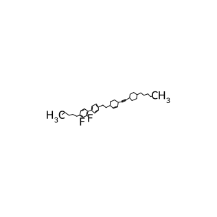 CCCCCc1ccc(-c2ccc(CCC3C=CC(C#CC4CCC(CCCCC)CC4)CC3)cc2)c(F)c1F